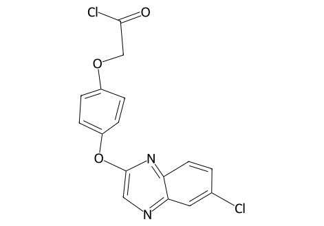 O=C(Cl)COc1ccc(Oc2cnc3cc(Cl)ccc3n2)cc1